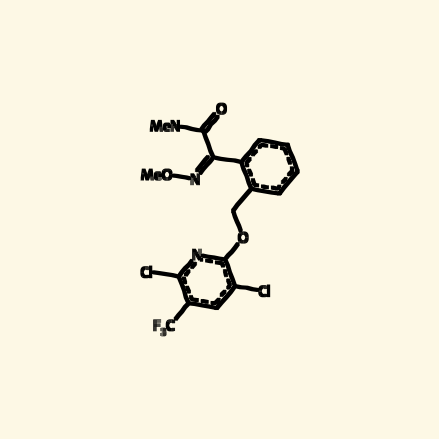 CNC(=O)C(=NOC)c1ccccc1COc1nc(Cl)c(C(F)(F)F)cc1Cl